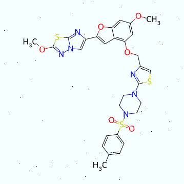 COc1cc(OCc2csc(N3CCN(S(=O)(=O)c4ccc(C)cc4)CC3)n2)c2cc(-c3cn4nc(OC)sc4n3)oc2c1